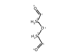 O=C[SiH2]O[SiH2]C=O